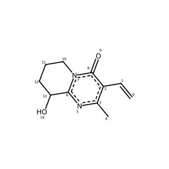 C=Cc1c(C)nc2n(c1=O)CCCC2O